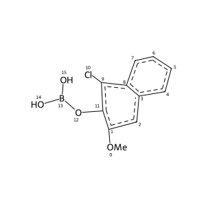 COc1cc2ccccc2c(Cl)c1OB(O)O